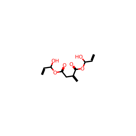 C=CC(O)OC(=O)CC(=C)C(=O)OC(O)C=C